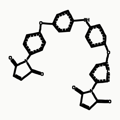 O=C1C=CC(=O)N1c1ccc(Oc2ccc(Bc3ccc(Oc4ccc(N5C(=O)C=CC5=O)cc4)cc3)cc2)cc1